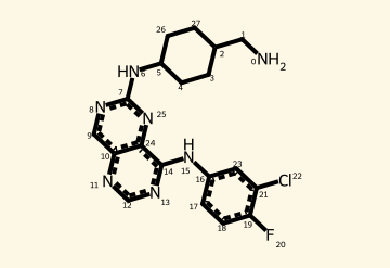 NCC1CCC(Nc2ncc3ncnc(Nc4ccc(F)c(Cl)c4)c3n2)CC1